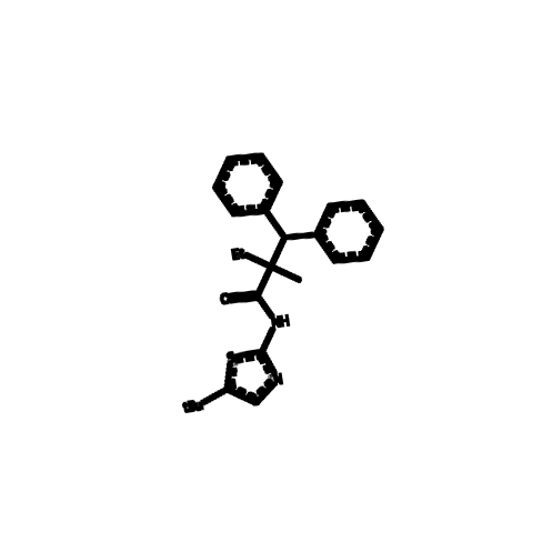 CCC(C)(C(=O)Nc1ncc(C(C)(C)C)s1)C(c1ccccc1)c1ccccc1